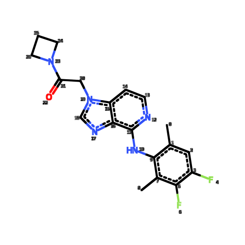 Cc1cc(F)c(F)c(C)c1Nc1nccc2c1ncn2CC(=O)N1CCC1